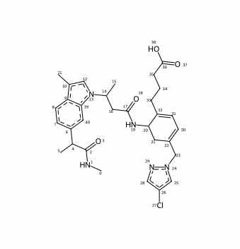 CNC(=O)C(C)c1ccc2c(C)cn(C(C)CC(=O)NC3CC(Cn4cc(Cl)cn4)=CC=C3CCCC(=O)O)c2c1